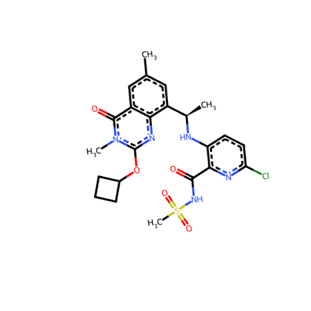 Cc1cc([C@@H](C)Nc2ccc(Cl)nc2C(=O)NS(C)(=O)=O)c2nc(OC3CCC3)n(C)c(=O)c2c1